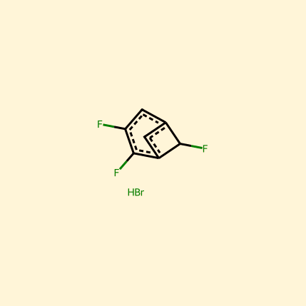 Br.Fc1cc2cc(c1F)C2F